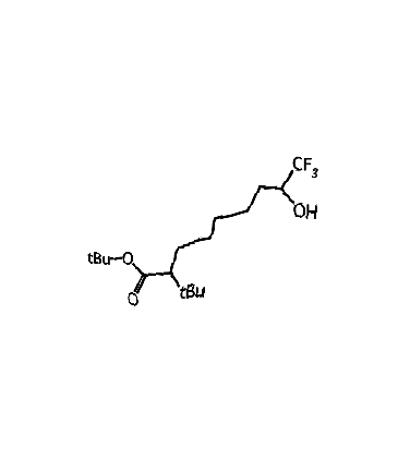 CC(C)(C)OC(=O)C(CCCCCC(O)C(F)(F)F)C(C)(C)C